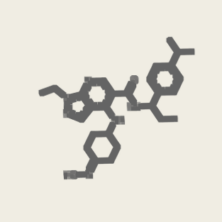 CCC(NC(=O)c1cnc2c(cnn2CC)c1NC1CCC(=NO)CC1)c1ccc(C(C)C)cc1